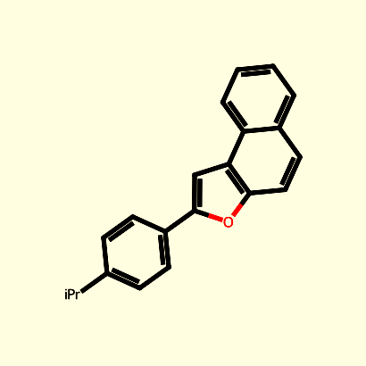 CC(C)c1ccc(-c2cc3c(ccc4ccccc43)o2)cc1